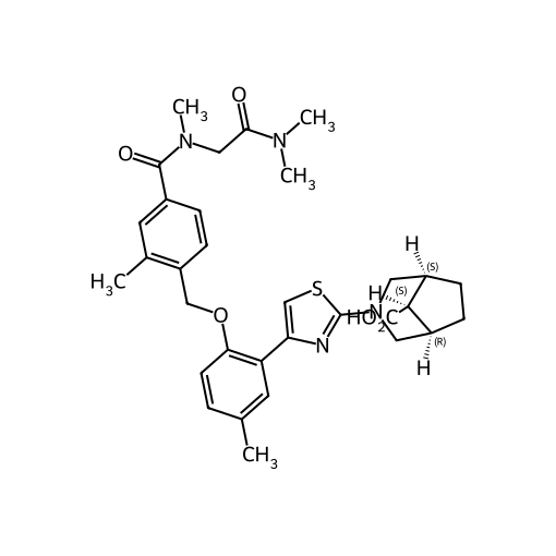 Cc1ccc(OCc2ccc(C(=O)N(C)CC(=O)N(C)C)cc2C)c(-c2csc(N3C[C@H]4CC[C@@H](C3)[C@H]4C(=O)O)n2)c1